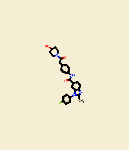 Cc1nc2ccc(C(=O)Nc3ccc(CC(=O)N4CCC(O)CC4)cc3)cc2n1-c1ccc(F)cc1